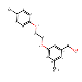 CC(=O)c1ccc(OCCOc2cc(C)cc(CO)c2)cc1